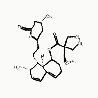 CCC(CC)(CC)C(=O)O[C@H]1CCC=C2C=C[C@H](C)[C@H](CC[C@@H]3C[C@@H](O)CC(=O)O3)[C@H]21